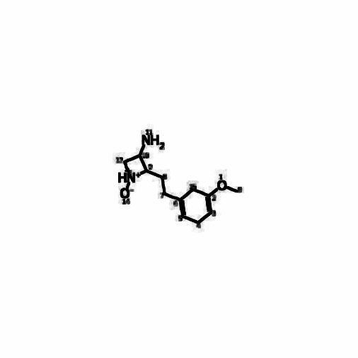 COC1=CCC=C(CCC2C(N)C[NH+]2[O-])C1